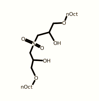 CCCCCCCCOCC(O)CS(=O)(=O)CC(O)COCCCCCCCC